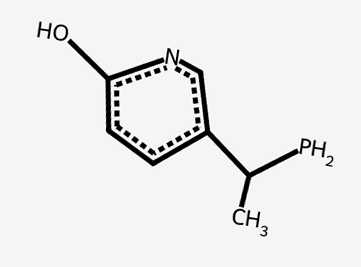 CC(P)c1ccc(O)nc1